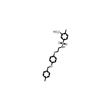 Cc1ccc(COc2ccc(SCCNS(=O)(=O)c3ccc(C)c(C(=O)O)c3)cc2)cc1